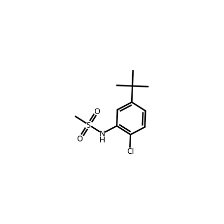 CC(C)(C)c1ccc(Cl)c(NS(C)(=O)=O)c1